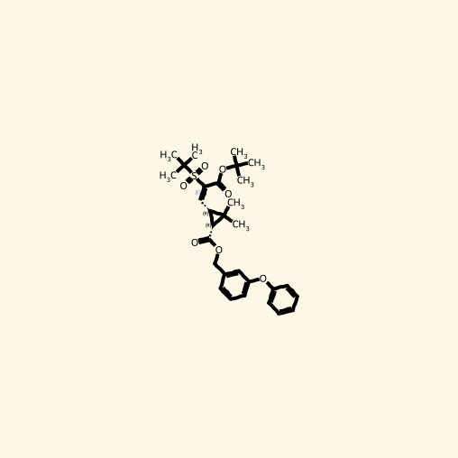 CC(C)(C)OC(=O)/C(=C\[C@H]1[C@@H](C(=O)OCc2cccc(Oc3ccccc3)c2)C1(C)C)S(=O)(=O)C(C)(C)C